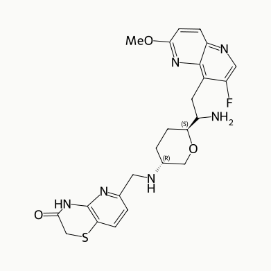 COc1ccc2ncc(F)c(CC(N)[C@@H]3CC[C@@H](NCc4ccc5c(n4)NC(=O)CS5)CO3)c2n1